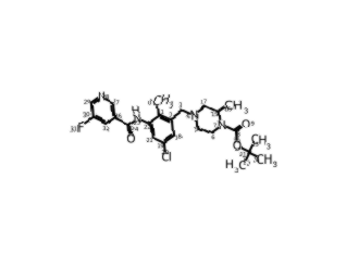 Cc1c(CN2CCN(C(=O)OC(C)(C)C)C(C)C2)cc(Cl)cc1NC(=O)c1cncc(F)c1